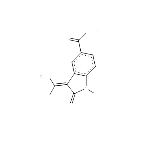 CCCCCC(=O)c1ccc2c(c1)C(=C(CC)OC)C(=O)N2C(C)=O